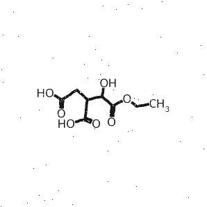 CCOC(=O)C(O)C(CC(=O)O)C(=O)O